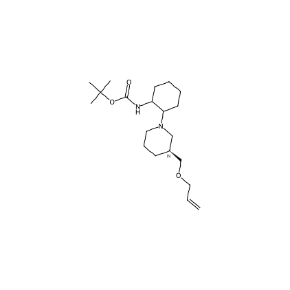 C=CCOC[C@H]1CCCN(C2CCCCC2NC(=O)OC(C)(C)C)C1